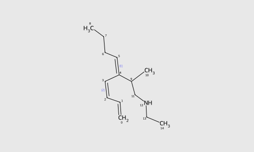 C=C/C=C\C(=C/CCC)C(C)CNCC